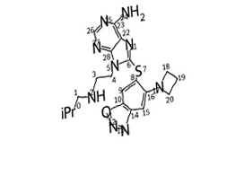 CC(C)CNCCn1c(Sc2cc3onnc3cc2N2CCC2)nc2c(N)ncnc21